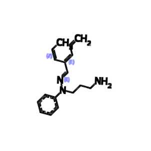 C=C/C=C(\C=C/C)/C=N/N(CCCN)c1ccccc1